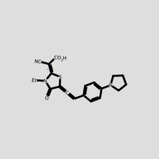 CCn1c(=O)c(=C=Cc2ccc(N3CCCC3)cc2)s/c1=C(/C#N)C(=O)O